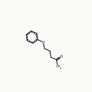 O=C(CCCOc1ccccc1)C(F)(F)F